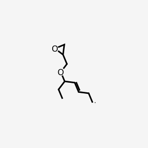 [CH2]CC=CC(CC)OCC1CO1